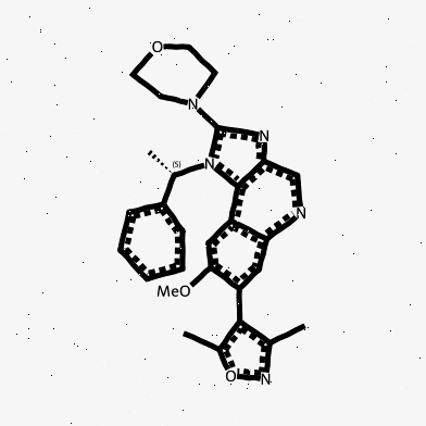 COc1cc2c(cc1-c1c(C)noc1C)ncc1nc(N3CCOCC3)n([C@@H](C)c3ccccc3)c12